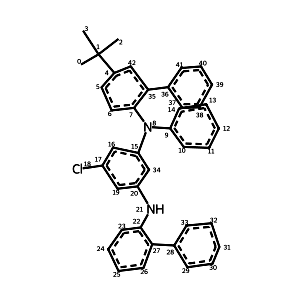 CC(C)(C)c1ccc(N(c2ccccc2)c2cc(Cl)cc(Nc3ccccc3-c3ccccc3)c2)c(-c2ccccc2)c1